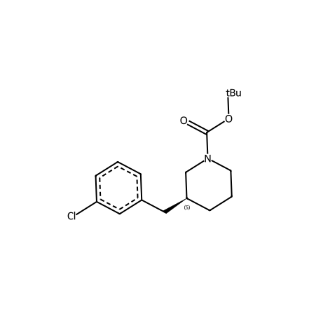 CC(C)(C)OC(=O)N1CCC[C@@H](Cc2cccc(Cl)c2)C1